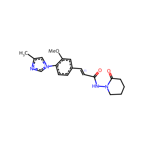 COc1cc(/C=C/C(=O)NN2CCCCC2=O)ccc1-n1cnc(C)c1